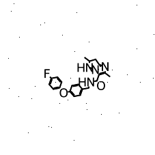 Cc1nc2n(c1C(=O)NCc1ccc(Oc3ccc(F)cc3)cc1)NC(C)C2